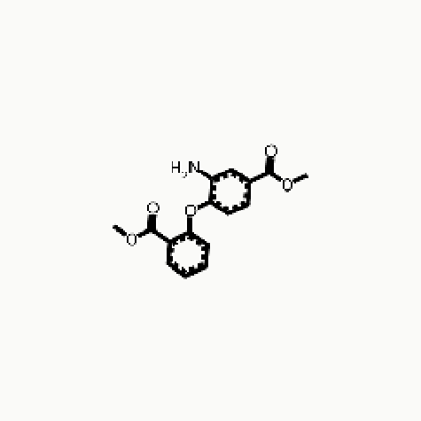 COC(=O)c1ccc(Oc2ccccc2C(=O)OC)c(N)c1